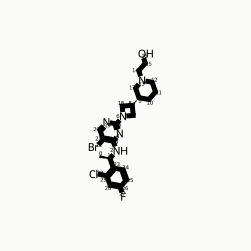 C[C@@H](Nc1nc(N2CC([C@H]3CCCN(CCO)C3)C2)ncc1Br)c1ccc(F)cc1Cl